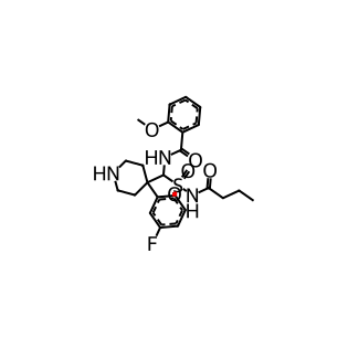 CCCC(=O)NS(=O)(=O)C(NC(=O)c1ccccc1OC)C1(c2cccc(F)c2)CCNCC1